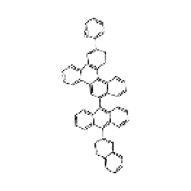 C1=C(c2ccccn2)CCc2c1c1ccccc1c1cc(-c3c4ccccc4c(-c4ccc5ccccc5c4)c4ccccc34)c3ccccc3c21